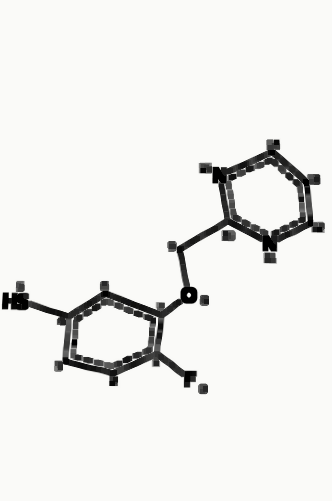 Fc1ccc(S)cc1OCc1ncccn1